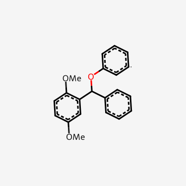 COc1ccc(OC)c(C(Oc2c[c]ccc2)c2ccccc2)c1